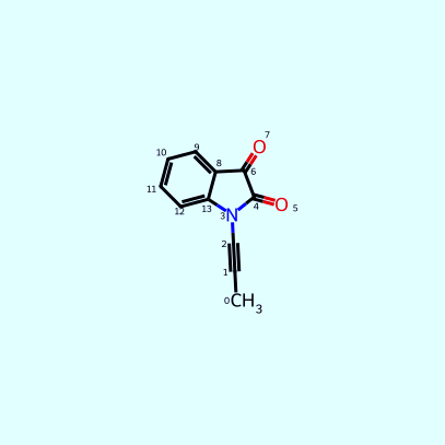 CC#CN1C(=O)C(=O)c2ccccc21